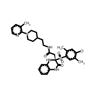 Cc1cc(S(=O)(=O)[C@@]2(CC(=O)NCCC3CCN(c4ncccc4C)CC3)Nc3ccccc3NC2=O)c(C)cc1Cl